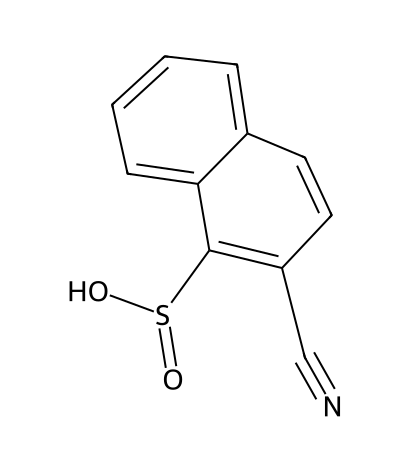 N#Cc1ccc2ccccc2c1S(=O)O